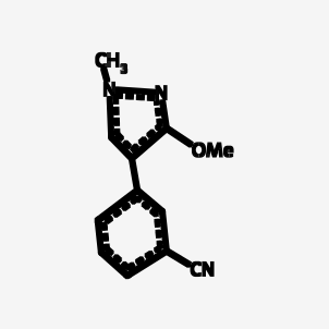 COc1nn(C)cc1-c1cccc(C#N)c1